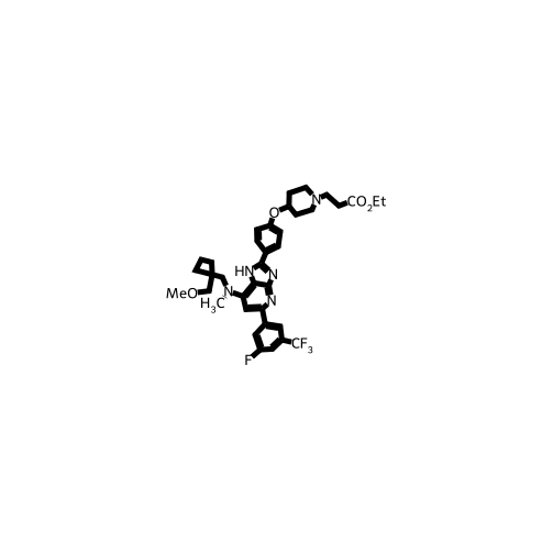 CCOC(=O)CCN1CCC(Oc2ccc(-c3nc4nc(-c5cc(F)cc(C(F)(F)F)c5)cc(N(C)CC5(COC)CCC5)c4[nH]3)cc2)CC1